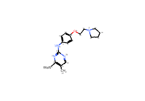 CNc1nc(Nc2ccc(OCCN3CCCC3)cc2)ncc1C